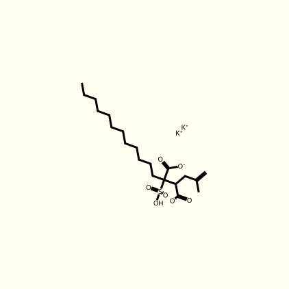 C=C(C)CC(C(=O)[O-])C(CCCCCCCCCCCC)(C(=O)[O-])S(=O)(=O)O.[K+].[K+]